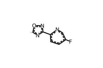 Fc1ccc(-c2n[c]on2)nc1